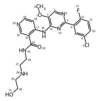 COc1cnc(-c2cc(Cl)ccc2F)nc1Nc1ccncc1C(=O)NCCNCCO